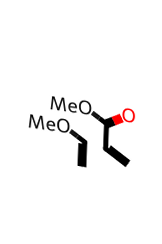 C=CC(=O)OC.C=COC